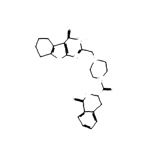 O=C1O[C@@H](C(=O)N2CCN(Cc3nc4sc5c(c4c(=O)[nH]3)CCCC5)CC2)Cc2ccccc21